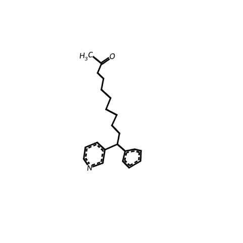 CC(=O)CCCCCCCCC(c1ccccc1)c1cccnc1